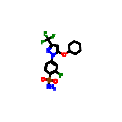 NS(=O)(=O)c1ccc(-n2nc(C(F)(F)F)cc2OC2CCCCC2)cc1F